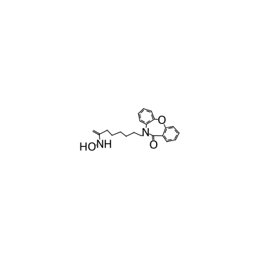 C=C(CCCCCCN1C(=O)c2ccccc2Oc2ccccc21)NO